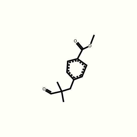 COC(=O)c1ccc(CC(C)(C)[C]=O)cc1